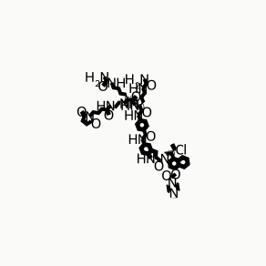 C=C(Cl)[C@@H]1CN(C(=O)c2cc3cc(NC(=O)c4ccc(NC(=O)[C@H](CCCNC(N)=O)NC(=O)[C@H](CCCCNC(N)=O)NCCNC(=O)CCCN5C(=O)C=CC5=O)cc4)ccc3[nH]2)c2cc(OC(=O)N3CCN(C)CC3)c3ccccc3c21